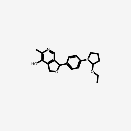 CCOC1CCCN1c1ccc(C2OCc3c2cnc(C)c3O)cc1